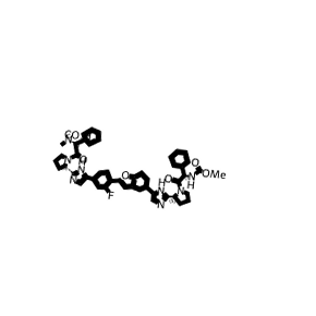 COC(=O)N[C@@H](C(=O)N1CCC[C@H]1c1ncc(-c2ccc3oc(-c4ccc(-c5cnc([C@@H]6CCCN6C(=O)[C@@H](c6ccccc6)N(C)C(=O)O)[nH]5)cc4F)cc3c2)[nH]1)c1ccccc1